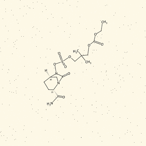 CCOC(=O)OCC(C)(C)COS(=O)(=O)ON1C(=O)N2C[C@H]1CC[C@H]2C(N)=O